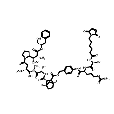 CC[C@H](C)[C@@H]([C@@H](CC(=O)N1CCC[C@H]1[C@H](OC)[C@@H](C)C(=O)N[C@H](CO)Cc1ccccc1)OC)N(C)C(=O)[C@@H](NC(=O)[C@H]1C(C(=O)OCc2ccc(NC(=O)[C@H](CCCNC(N)=O)NC(=O)[C@@H](NC(=O)CCCCCN3C(=O)C=CC3=O)C(C)C)cc2)[C@@H]2CC[C@H]1C2)C(C)C